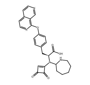 O=C(O)[C@H](Cc1ccc(Oc2nccc3ccncc23)cc1)N(c1cc(=O)c1=O)C1CCCCCN1